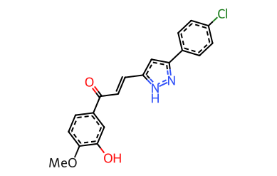 COc1ccc(C(=O)/C=C/c2cc(-c3ccc(Cl)cc3)n[nH]2)cc1O